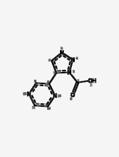 O=C(O)n1nncc1-c1cnccn1